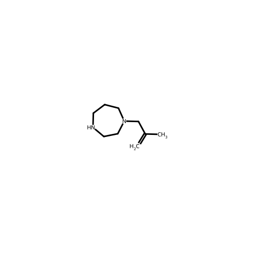 C=C(C)CN1CCCNCC1